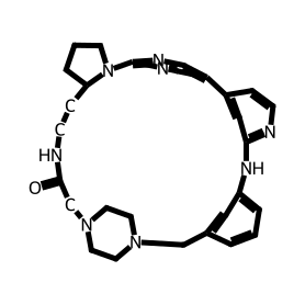 O=C1CN2CCN(CC2)Cc2cccc(c2)Nc2cc(ccn2)-c2cnc(nc2)N2CCCC2CCN1